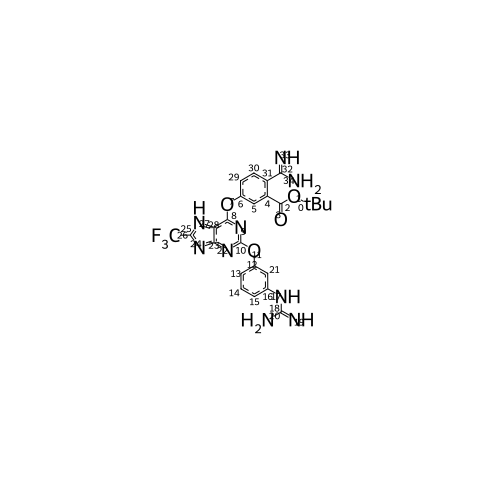 CC(C)(C)OC(=O)c1cc(Oc2nc(Oc3cccc(NC(=N)N)c3)nc3nc(C(F)(F)F)[nH]c23)ccc1C(=N)N